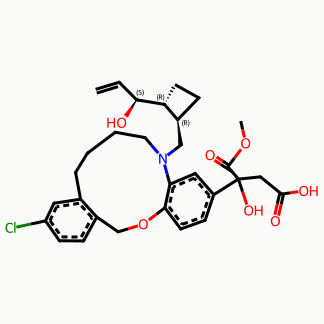 C=C[C@H](O)[C@@H]1CC[C@H]1CN1CCCCc2cc(Cl)ccc2COc2ccc(C(O)(CC(=O)O)C(=O)OC)cc21